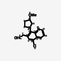 COC1CCN(c2c(CC=O)cc(Cl)c3cccnc23)C1